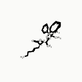 CCCCCC[C@H]1C(=O)O[C@@H]1C(C)CO[Si](c1ccccc1)(c1ccccc1)C(C)(C)C